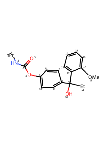 CCCNC(=O)Oc1ccc(C(O)(CC)c2ccccc2OC)cc1